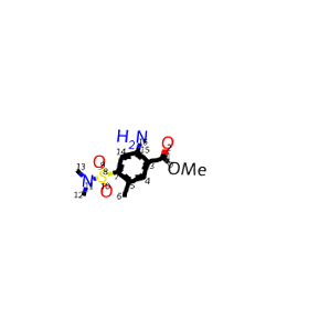 COC(=O)c1cc(C)c(S(=O)(=O)N(C)C)cc1N